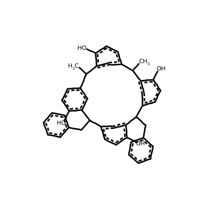 CC1c2ccc(O)c(c2)C(Cc2ccccc2)c2ccc(O)c(c2)C(Cc2ccccc2)c2ccc(O)c(c2)C(C)c2ccc(O)c1c2